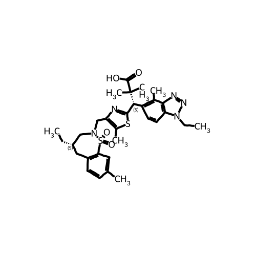 CC[C@H]1Cc2ccc(C)cc2S(=O)(=O)N(Cc2nc([C@@H](c3ccc4c(nnn4CC)c3C)C(C)(C)C(=O)O)sc2C)C1